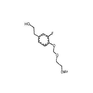 COCCOCOc1ccc(CCO)cc1F